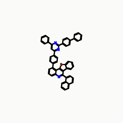 c1ccc(-c2ccc(-c3nc(-c4ccccc4)cc(-c4ccc(-c5cccc6nc(-c7cccc8ccccc78)c7c8ccccc8sc7c56)cc4)n3)cc2)cc1